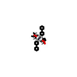 Cc1ccc(N2/C(=C3/N(c4ccc(C)s4)c4ccc(-c5ccccc5)cc4N3c3ccc(C)s3)N(c3ccc(C)s3)c3cc(-c4ccccc4)ccc32)s1